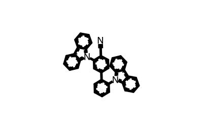 N#Cc1ccc(-c2ccccc2-n2c3ccccc3c3ccccc32)cc1-n1c2ccccc2c2ccccc21